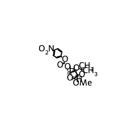 CO[C@@H]1O[C@H](COC(=O)Oc2ccc([N+](=O)[O-])cc2)[C@H]2OC(C)(C)O[C@@H]12